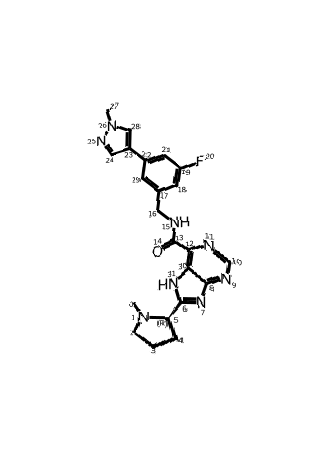 CN1CCC[C@@H]1c1nc2ncnc(C(=O)NCc3cc(F)cc(-c4cnn(C)c4)c3)c2[nH]1